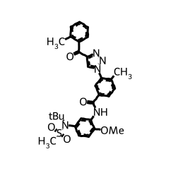 COc1ccc(N(C(C)(C)C)S(C)(=O)=O)cc1NC(=O)c1ccc(C)c(-n2cc(C(=O)c3ccccc3C)nn2)c1